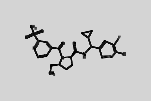 CC[C@@H]1CC[C@H](C(=O)NC(c2ccc(Cl)c(F)c2)C2CC2)N1C(=O)c1ccnc(S(C)(=O)=O)c1